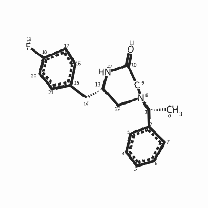 C[C@H](c1ccccc1)N1CC(=O)N[C@@H](Cc2ccc(F)cc2)C1